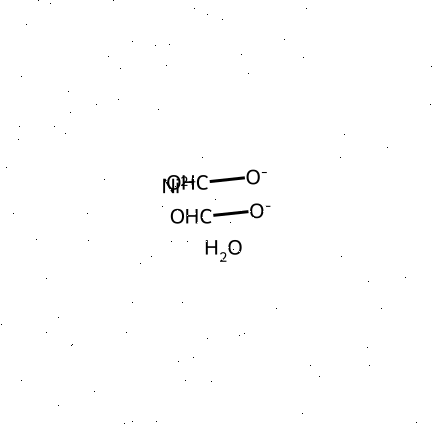 O.O=C[O-].O=C[O-].[Ni+2]